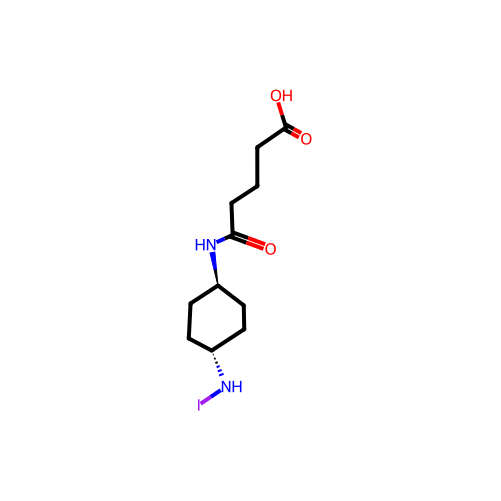 O=C(O)CCCC(=O)N[C@H]1CC[C@H](NI)CC1